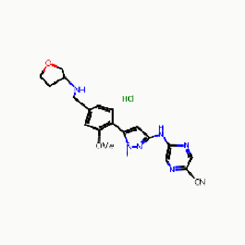 COc1cc(CNC2CCOC2)ccc1-c1cc(Nc2cnc(C#N)cn2)n[nH]1.Cl